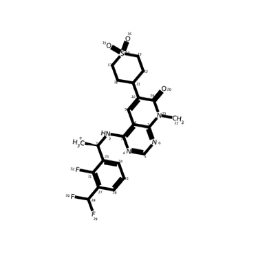 C[C@@H](Nc1ncnc2c1cc(C1CCS(=O)(=O)CC1)c(=O)n2C)c1cccc(C(F)F)c1F